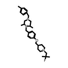 Cc1ccc(CN2CC(C)N(Cc3ccc(OCC4CCN(CC(C)(C)F)CC4)cc3)C(C)C2)cc1